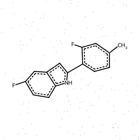 Cc1ccc(-c2cc3cc(F)ccc3[nH]2)c(F)c1